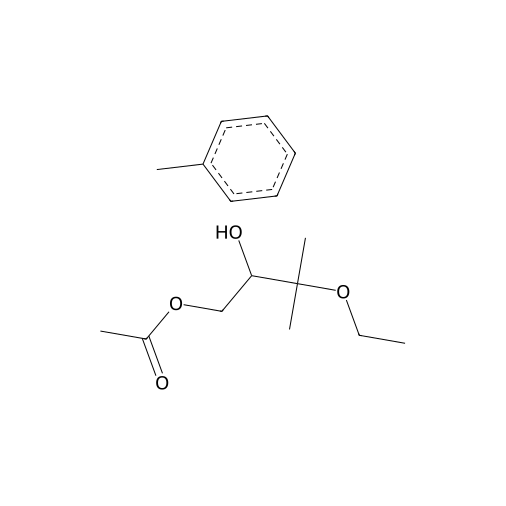 CCOC(C)(C)C(O)COC(C)=O.Cc1ccccc1